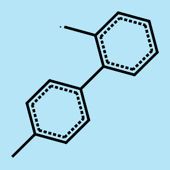 [CH2]c1ccccc1-c1ccc(C)cc1